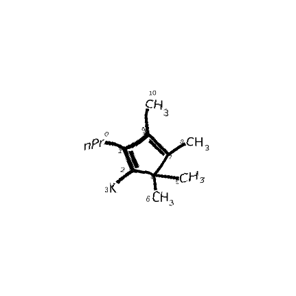 CCCC1=[C]([K])C(C)(C)C(C)=C1C